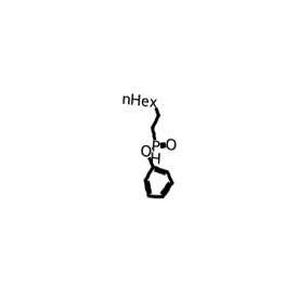 CCCCCCCC[PH](=O)Oc1ccccc1